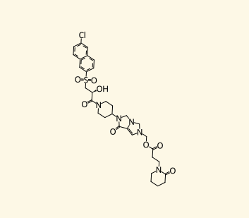 O=C(CCN1CCCCC1=O)OCN1C=C2C(=O)N(C3CCN(C(=O)[C@H](O)CS(=O)(=O)c4ccc5cc(Cl)ccc5c4)CC3)CN2C1